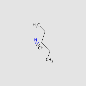 C#N.CCCCC